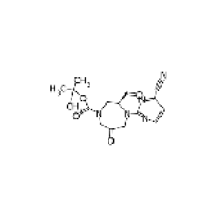 CC(C)(C)OC(=O)N1CC(=O)CN(c2nccc(C#N)n2)[C@H](C=O)C1